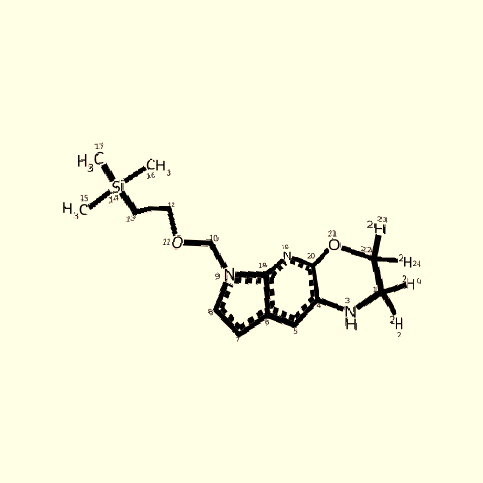 [2H]C1([2H])Nc2cc3ccn(COCC[Si](C)(C)C)c3nc2OC1([2H])[2H]